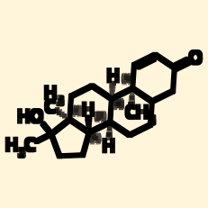 CC1(O)CC[C@H]2[C@@H]3CCC4CC(=O)C=C[C@]4(C)[C@@H]3CC[C@@]21C